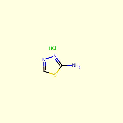 Cl.Nc1nncs1